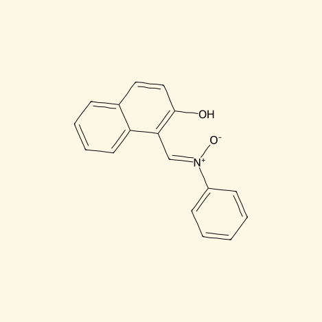 [O-][N+](=Cc1c(O)ccc2ccccc12)c1ccccc1